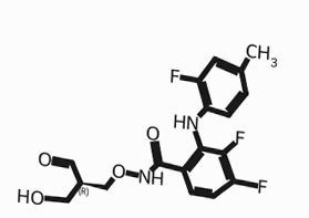 Cc1ccc(Nc2c(C(=O)NOC[C@H](C=O)CO)ccc(F)c2F)c(F)c1